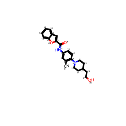 N#Cc1cc(NC(=O)c2cc3ccccc3o2)ccc1N1CCC(CCO)CC1